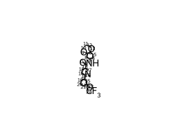 O=C(Nc1ccc2c(c1)OCCCO2)c1ccc(-c2cccc(OC(F)(F)F)c2)nc1